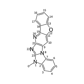 Cn1c2ccccc2n2c3cc4oc5ccccc5c4nc3nc12